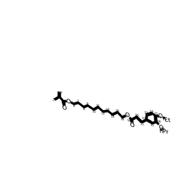 C=C(C)C(=O)OCCCCCCCCCCCOC(=O)/C=C/c1ccc(OCC)c(OCCC)c1